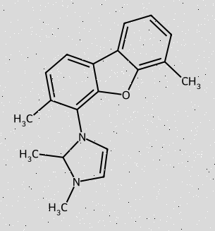 Cc1ccc2c(oc3c(C)cccc32)c1N1C=CN(C)C1C